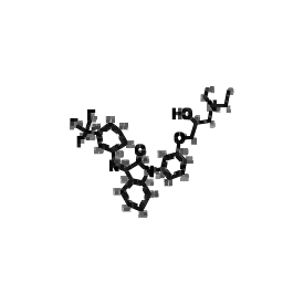 CCN(CC)CC(O)COc1cccc(N2C(=O)C(=Nc3cccc(C(F)(F)F)c3)c3ccccc32)c1